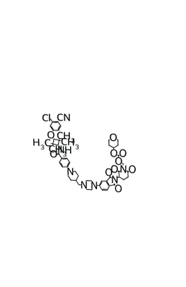 CC1(C)[C@H](NC(=O)c2ccc(N3CCC(CN4CCN(c5ccc6c(c5)C(=O)N(C5CCC(=O)N(COC(=O)OC7CCOCC7)C5=O)C6=O)CC4)CC3)cc2)C(C)(C)[C@H]1Oc1ccc(C#N)c(Cl)c1